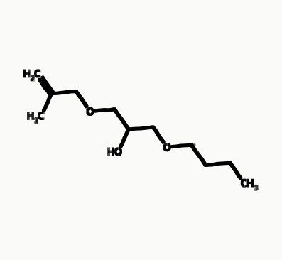 C=C(C)COCC(O)CO[CH]CCC